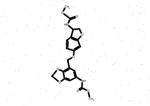 COC(=O)Nc1cc(COc2ccc3c(c2)OCC3NC(=O)OC)c2c(c1)OCO2